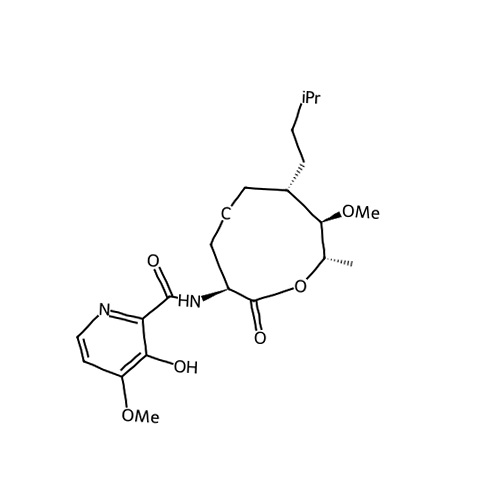 COc1ccnc(C(=O)N[C@H]2CCC[C@H](CCC(C)C)[C@@H](OC)[C@H](C)OC2=O)c1O